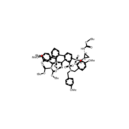 COc1ccc(CN(Cc2ccc(OC)cc2)S(=O)(=O)c2c(S(=O)(=O)N[C@@H]3C[C@H]3NC(=O)OC(C)(C)C)ccc(-c3cccc4c3nc(N(C(=O)OC(C)(C)C)C(=O)OC(C)(C)C)n4C(=O)OC(C)(C)C)c2-c2nnnn2Cc2ccc(OC)cc2)cc1